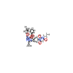 CCCCN1C(=O)CC(=O)N(C2CCC(COCc3ccccc3)(Cn3c(C4CC4)nn(COCC[Si](C)(C)C)c3=O)CC2)C1=O